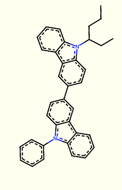 CCCC(CC)n1c2ccccc2c2cc(-c3ccc4c(c3)c3ccccc3n4-c3ccccc3)ccc21